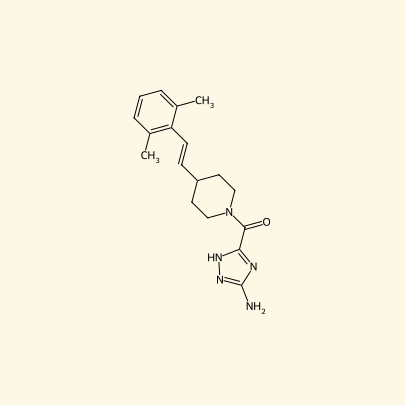 Cc1cccc(C)c1C=CC1CCN(C(=O)c2nc(N)n[nH]2)CC1